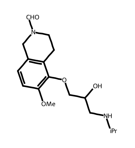 COc1ccc2c(c1OCC(O)CNC(C)C)CCN(C=O)C2